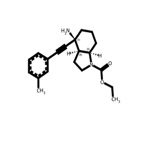 CCOC(=O)N1CC[C@@H]2[C@H]1CCC[C@@]2(N)C#Cc1cccc(C)c1